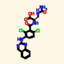 NC(=O)NC[C@H](NC(=O)c1c(Cl)ccc(Nc2ncc3ccccc3n2)c1Cl)C(=O)O